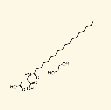 CCCCCCCCCCCCCCCCCC(=O)N[C@@H](CC(=O)O)C(=O)O.OCCO